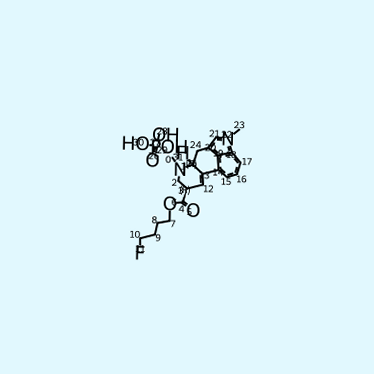 CN1C[C@H](C(=O)OCCCCF)C=C2c3cccc4c3c(cn4C)C[C@H]21.O=P(O)(O)O